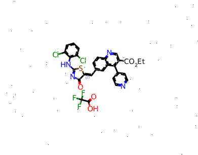 CCOC(=O)c1cnc2ccc(/C=C3\SC(Nc4c(Cl)cccc4Cl)=NC3=O)cc2c1-c1ccncc1.O=C(O)C(F)(F)F